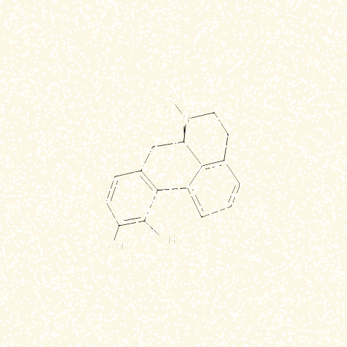 Oc1ccc2c(c1O)-c1cccc3c1[C@@H](C2)N(P)CC3